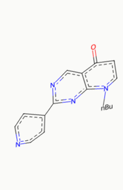 CCCCn1ccc(=O)c2cnc(-c3ccncc3)nc21